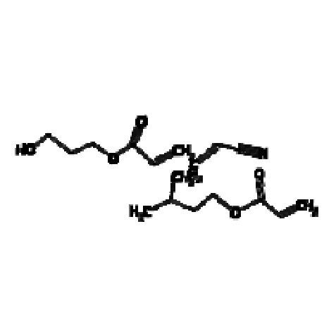 C=CC#N.C=CC(=O)OCCC(C)C.C=CC(=O)OCCCO